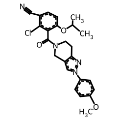 COc1ccc(-n2cc3c(n2)CCN(C(=O)c2c(OC(C)C)ccc(C#N)c2Cl)C3)cc1